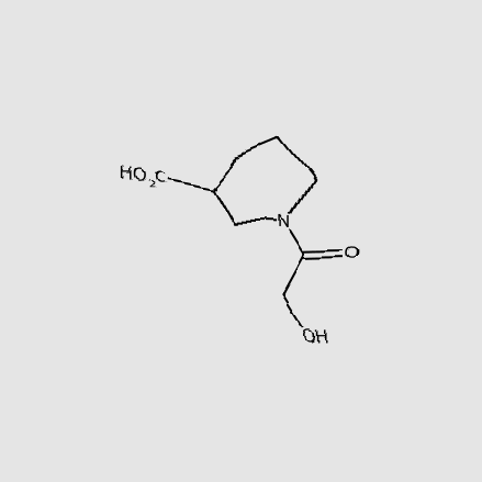 O=C(O)C1CCCN(C(=O)CO)C1